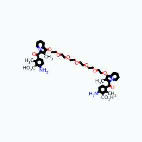 Cc1c(C(=O)c2c(C)c(OCCOCCOCCOCCOCCOCCOc3c(C)c(C(=O)c4ccc(N)c(C(=O)O)c4C)n4ccccc34)c3ccccn23)ccc(N)c1C(=O)O